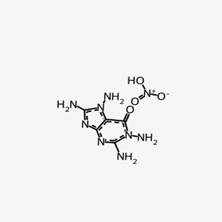 Nc1nc2nc(N)n(N)c2c(=O)n1N.O=[N+]([O-])O